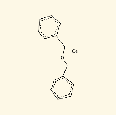 [Ce].c1ccc(COCc2ccccc2)cc1